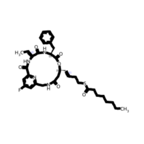 C/C=C1\NC(=O)c2cc(F)cc(n2)CNC(=O)C[C@@H](/C=C/CCSC(=O)CCCCCCC)OC(=O)[C@H](Cc2ccccc2)NC1=O